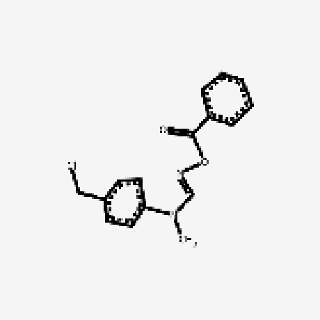 CN(C=NOC(=O)c1ccccc1)c1ccc(CCl)cc1